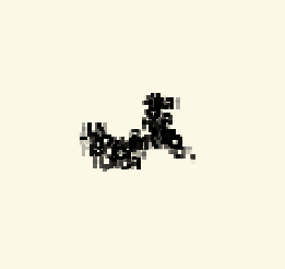 CC1(C)OB(O)c2cc(NC(=O)[C@@H](Cc3ccc(C(F)(F)F)cc3)NC(=O)[C@@H](N)CCC(=O)NCC3OC(OC4C(N)CC(N)C(O)C4O)C(N)C(O)C3O)ccc21